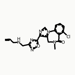 C=CCNCc1noc(-c2ncn3c2CN(C)C(=O)c2c(Cl)cccc2-3)n1